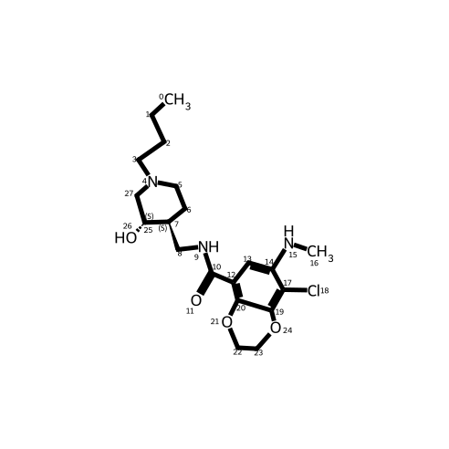 CCCCN1CC[C@@H](CNC(=O)c2cc(NC)c(Cl)c3c2OCCO3)[C@H](O)C1